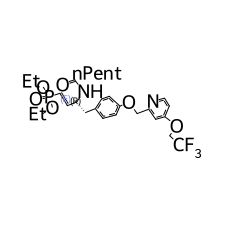 CCCCCC(=O)N[C@@H](/C=C/P(=O)(OCC)OCC)Cc1ccc(OCc2cc(OCC(F)(F)F)ccn2)cc1